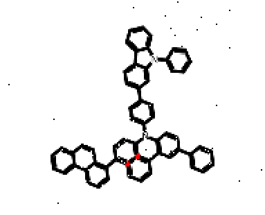 c1ccc(-c2ccc(N(c3ccc(-c4ccc5c6ccccc6n(-c6ccccc6)c5c4)cc3)c3ccc(-c4cccc5c4ccc4ccccc45)cc3)c(-c3ccccc3)c2)cc1